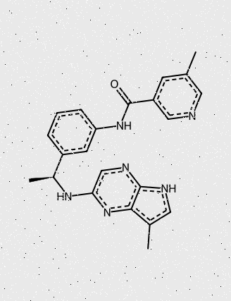 Cc1cncc(C(=O)Nc2cccc([C@H](C)Nc3cnc4[nH]cc(C)c4n3)c2)c1